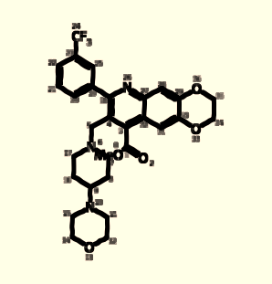 COC(=O)c1c(CN2CCC(N3CCOCC3)CC2)c(-c2cccc(C(F)(F)F)c2)nc2cc3c(cc12)OCCO3